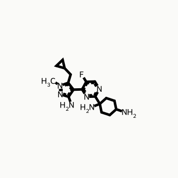 Cn1nc(N)c(-c2nc(C3(N)CCC(N)CC3)ncc2F)c1CC1CC1